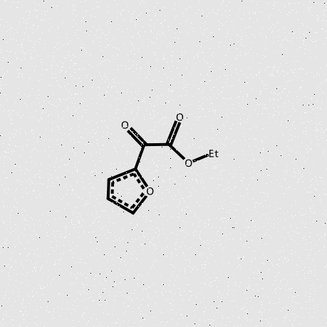 CCOC(=O)C(=O)c1ccco1